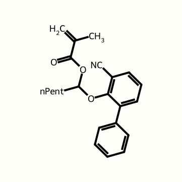 C=C(C)C(=O)OC(CCCCC)Oc1c(C#N)cccc1-c1ccccc1